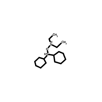 CC[SiH](CC)O[SiH](C1CCCCC1)C1CCCCC1